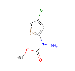 CC(C)(C)OC(=O)N(N)c1cc(Br)cs1